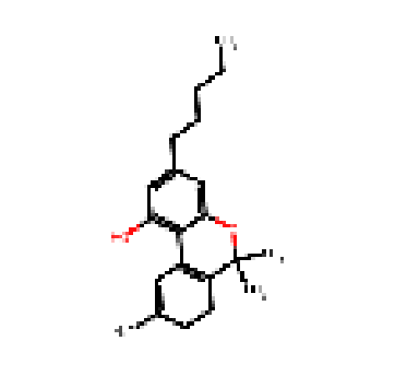 CCCCCc1cc(O)c2c(c1)OC(C)(C)C1=C2C=C(C)CC1